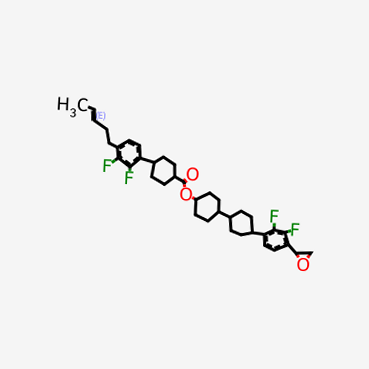 C/C=C/CCc1ccc(C2CCC(C(=O)OC3CCC(C4CCC(c5ccc(C6CO6)c(F)c5F)CC4)CC3)CC2)c(F)c1F